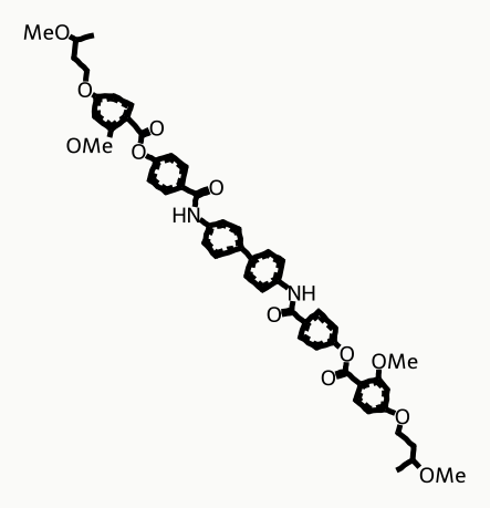 COc1cc(OCCC(C)OC)ccc1C(=O)Oc1ccc(C(=O)Nc2ccc(-c3ccc(NC(=O)c4ccc(OC(=O)c5ccc(OCCC(C)OC)cc5OC)cc4)cc3)cc2)cc1